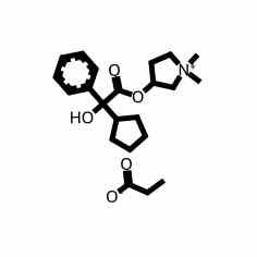 CCC(=O)[O-].C[N+]1(C)CCC(OC(=O)C(O)(c2ccccc2)C2CCCC2)C1